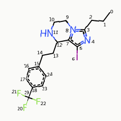 CCCc1nc(I)c2n1CCNC2CCc1ccc(C(F)(F)F)cc1